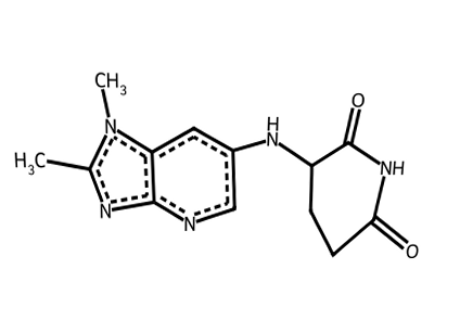 Cc1nc2ncc(NC3CCC(=O)NC3=O)cc2n1C